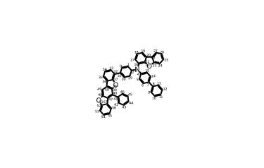 C1=CC(N(c2ccc(-c3ccccc3)cc2)c2cccc3c2oc2ccccc23)CC=C1c1cccc2c1oc1c(-c3ccccc3)c3c(cc12)oc1ccccc13